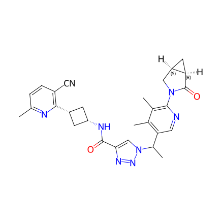 Cc1ccc(C#N)c([C@H]2C[C@@H](NC(=O)c3cn(C(C)c4cnc(N5C[C@H]6C[C@H]6C5=O)c(C)c4C)nn3)C2)n1